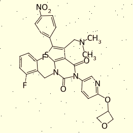 CN(C)Cc1c(-c2ccc([N+](=O)[O-])cc2)sc2c1c(=O)n(-c1ccc(OC3COC3)nc1)c(=O)n2Cc1c(F)cccc1F